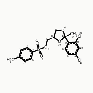 Cc1ccc(S(=O)(=O)OC[C@H]2CO[C@](C)(c3ccc(Cl)cc3Cl)O2)cc1